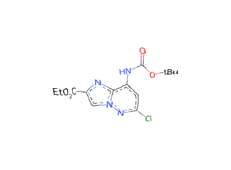 CCOC(=O)c1cn2nc(Cl)cc(NC(=O)OC(C)(C)C)c2n1